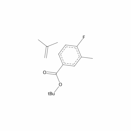 C=C(C)C.Cc1cc(C(=O)OC(C)(C)C)ccc1F